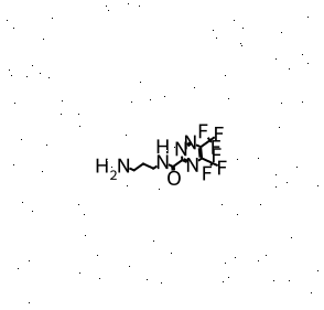 NCCCNC(=O)c1nnc(C(F)(F)F)c(C(F)(F)F)n1